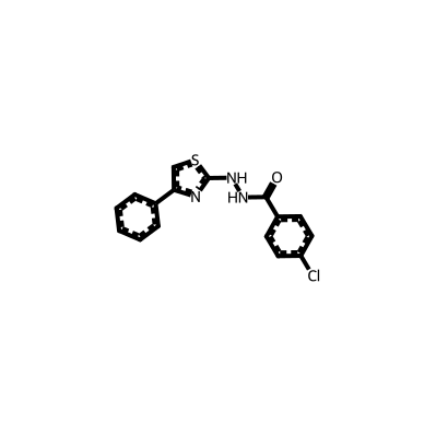 O=C(NNc1nc(-c2ccccc2)cs1)c1ccc(Cl)cc1